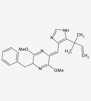 C=CC(C)(C)c1[nH]cnc1/C=C1\N=C(OC)C(Cc2ccccc2)N=C1OC